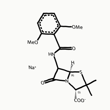 COc1cccc(OC)c1C(=O)NC1C(=O)N2[C@@H]1SC(C)(C)[C@@H]2C(=O)[O-].[Na+]